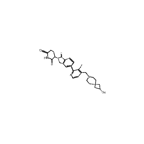 O=C1CCC(N2Cc3cc(-c4nccc(CN5CCC6(CC5)CC(O)C6)c4F)ccc3C2=O)C(=O)N1